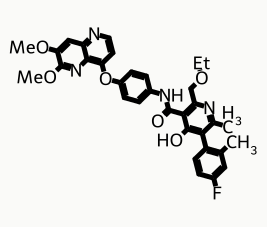 CCOCc1nc(C)c(-c2ccc(F)cc2C)c(O)c1C(=O)Nc1ccc(Oc2ccnc3cc(OC)c(OC)nc23)cc1